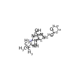 CC(C)(C)C(=N)/C=C(/N)Nc1cn(CCOC2CCCCO2)nc1CO